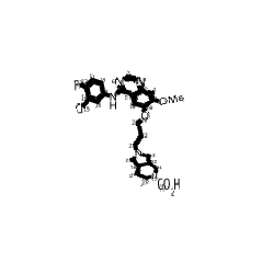 COc1cc2ncnc(Nc3ccc(F)c(Cl)c3)c2cc1OCCCN1CC2CCN(C(=O)O)CC2C1